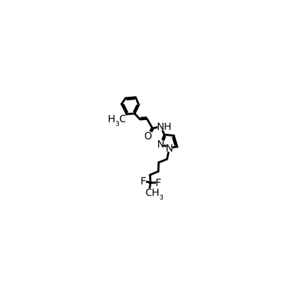 Cc1ccccc1/C=C/C(=O)Nc1ccn(CCCCC(C)(F)F)n1